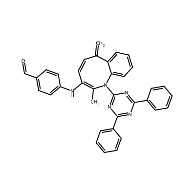 C=C1/C=C\C(Nc2ccc(C=O)cc2)=C(\C)N(c2nc(-c3ccccc3)nc(-c3ccccc3)n2)c2ccccc21